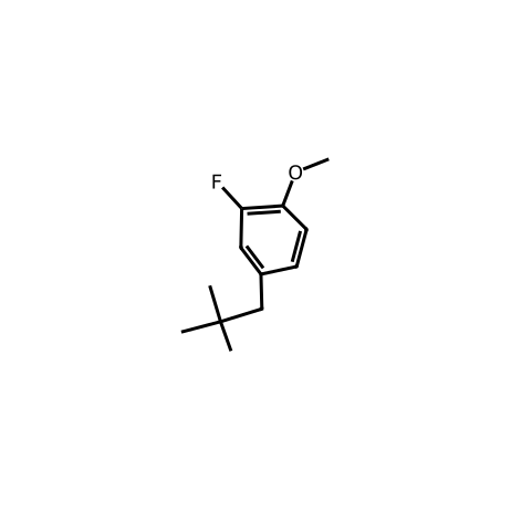 COc1ccc(CC(C)(C)C)cc1F